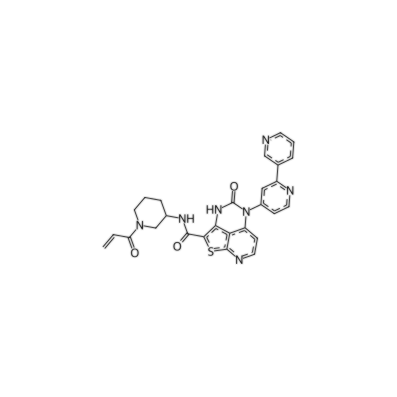 C=CC(=O)N1CCCC(NC(=O)c2sc3nccc4c3c2NC(=O)N4c2ccnc(-c3cccnc3)c2)C1